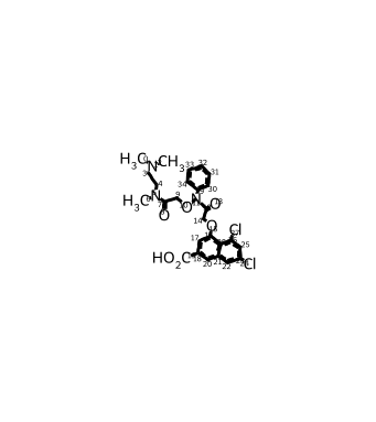 CN(C)CCN(C)C(=O)CON(C(=O)COc1cc(C(=O)O)cc2cc(Cl)cc(Cl)c12)c1ccccc1